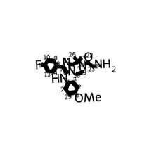 COc1ccc(Nc2c(-c3ccc(F)cc3)nc3n2CCN(C(=O)CN)C3(C)C)cc1